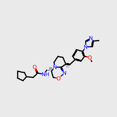 COc1cc(/C=C2\CCCN3C2=NOC[C@@H]3CNC(=O)CC2CCCC2)ccc1-n1cnc(C)c1